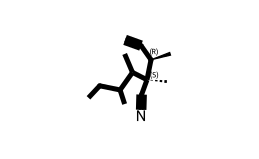 C#C[C@@H](C)[C@@](C)(C#N)C(C)C(C)CC